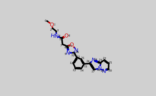 COCCNC(=O)Cc1nc(-c2cccc(-c3cn4ncccc4n3)c2)no1